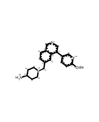 COc1ccc(-c2cncc3ccc(CN4CCC(N)CC4)cc23)cn1